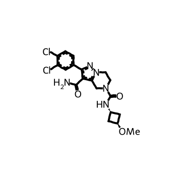 CO[C@H]1C[C@H](NC(=O)N2CCn3nc(-c4ccc(Cl)c(Cl)c4)c(C(N)=O)c3C2)C1